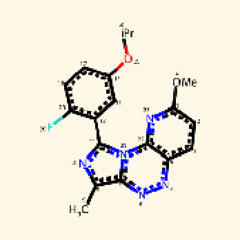 COc1ccc2nnc3c(C)nc(-c4cc(OC(C)C)ccc4F)n3c2n1